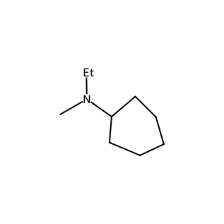 [CH2]CN(C)C1CCCCC1